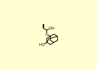 C=CC(O)OC12CC3CC(CC(O)(C3)C1)C2